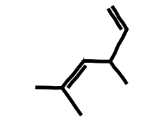 C=CC(C)[C]=C(C)C